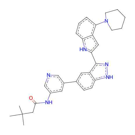 CC(C)(C)CC(=O)Nc1cncc(-c2ccc3[nH]nc(-c4cc5c(N6CCCCC6)cccc5[nH]4)c3c2)c1